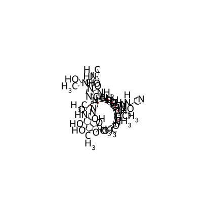 CC[C@H](CO)NCCN[C@H](CC)CO.CO[C@H]1/C=C/O[C@@]2(C)Oc3c(C)c(O)c4c(O)c(c(/C=N/N5CCN(C)CC5)c(O)c4c3C2=O)NC(=O)/C(C)=C\C=C\[C@H](C)[C@H](O)[C@@H](C)[C@@H](O)[C@@H](C)[C@H](OC(C)=O)[C@@H]1C.NC(=O)c1cnccn1.NNC(=O)c1ccncc1